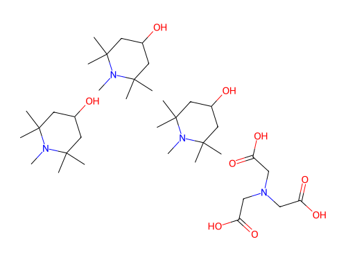 CN1C(C)(C)CC(O)CC1(C)C.CN1C(C)(C)CC(O)CC1(C)C.CN1C(C)(C)CC(O)CC1(C)C.O=C(O)CN(CC(=O)O)CC(=O)O